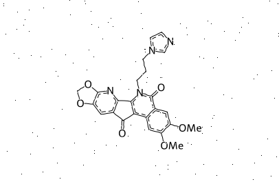 COc1cc2c3c(n(CCCn4ccnc4)c(=O)c2cc1OC)-c1nc2c(cc1C3=O)OCO2